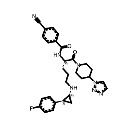 N#Cc1ccc(C(=O)N[C@@H](CCCN[C@@H]2C[C@H]2c2ccc(F)cc2)C(=O)N2CCC(n3ccnn3)CC2)cc1